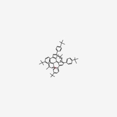 CB(F)n1c(-c2ccc(C(C)(C)C)cc2)cc(-c2ccc(C(C)(C)C)cc2)c1/C(=C1\N=C(c2ccc(C(C)(C)C)cc2)C=C1c1ccc(C(C)(C)C)cc1)c1c(C)cc(C)cc1C